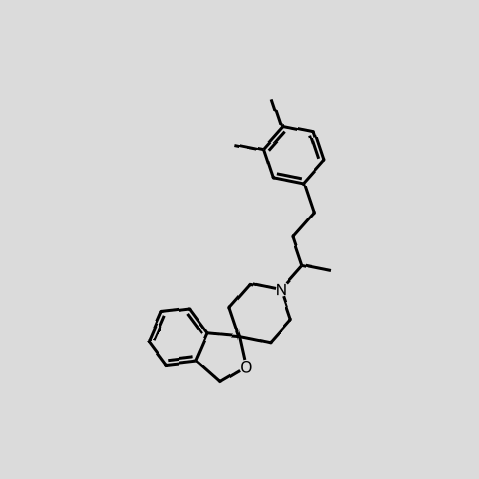 Cc1ccc(CCC(C)N2CCC3(CC2)OCc2ccccc23)cc1C